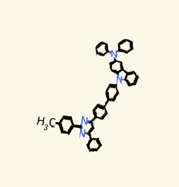 Cc1ccc(-c2nc(-c3ccccc3)cc(-c3ccc(-c4ccc(-n5c6ccccc6c6cc(N(c7ccccc7)c7ccccc7)ccc65)cc4)cc3)n2)cc1